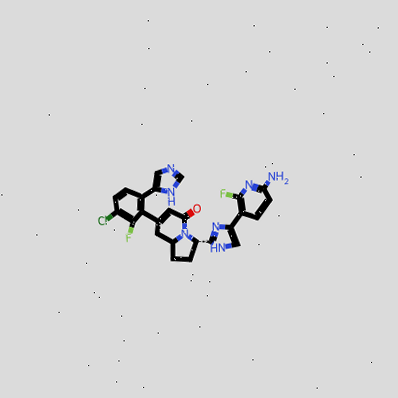 Nc1ccc(-c2c[nH]c([C@@H]3CCC4CC(c5c(-c6cnc[nH]6)ccc(Cl)c5F)=CC(=O)N43)n2)c(F)n1